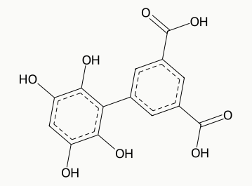 O=C(O)c1cc(C(=O)O)cc(-c2c(O)c(O)cc(O)c2O)c1